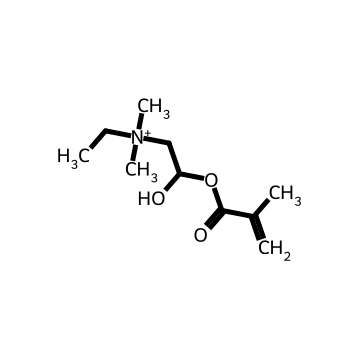 C=C(C)C(=O)OC(O)C[N+](C)(C)CC